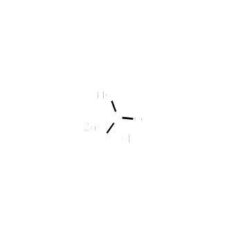 [Cl-].[O-]B(O)O.[Zn+2]